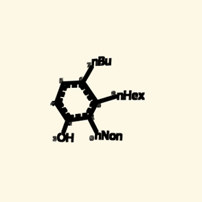 CCCCCCCCCc1c(O)ccc(CCCC)c1CCCCCC